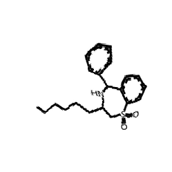 CCCCCCC1CS(=O)(=O)c2ccccc2C(c2ccccc2)N1